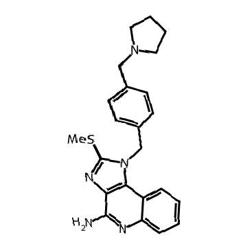 CSc1nc2c(N)nc3ccccc3c2n1Cc1ccc(CN2CCCC2)cc1